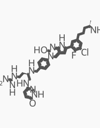 C[C@H](N)CCCc1cc(Cl)c(F)c(-c2cc3c([nH]2)=NC(O)N(c2ccc(CN[C@H](CCNC(=N)N)CNc4ccc(=O)[nH]n4)cc2)C=3)c1